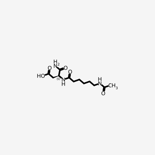 CC(=O)NCCCCCC(=O)N[C@@H](CC(=O)O)C(N)=O